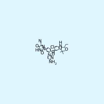 CCC1OCC(C)(C)c2c1[nH]c1ccc(Oc3c(Cl)cc(-n4nc(C#N)c(=O)[nH]c4=O)cc3-n3ccc(N)nc3=O)cc21